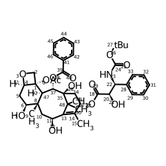 CC(=O)O[C@@]12CO[C@@H]1C[C@H](O)[C@@]1(C)C[C@H](O)C3=C(C)[C@@H](OC(=O)[C@H](O)[C@@H](NC(=O)OC(C)(C)C)c4ccccc4)C[C@@](O)([C@@H](OC(=O)c4ccccc4)[C@@H]12)C3(C)C